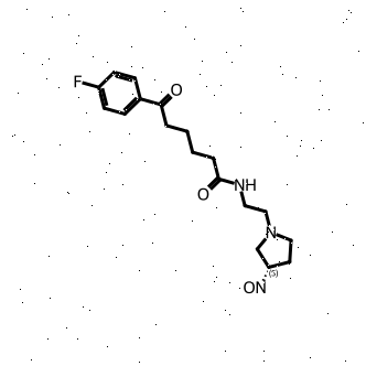 O=N[C@H]1CCN(CCNC(=O)CCCCC(=O)c2ccc(F)cc2)C1